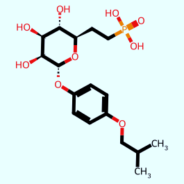 CC(C)COc1ccc(O[C@H]2O[C@H](CCP(=O)(O)O)[C@@H](O)[C@H](O)[C@@H]2O)cc1